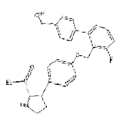 [CH2]CC(=O)[C@H]1NCCC1c1ccc(OCc2c(F)cccc2-c2ccc(CO)cc2)cc1